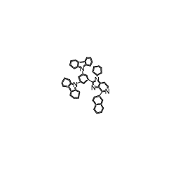 c1ccc(-n2c(-c3cc(-n4c5ccccc5c5ccccc54)cc(-n4c5ccccc5c5ccccc54)c3)nc3c(-c4ccc5ccccc5c4)nccc32)cc1